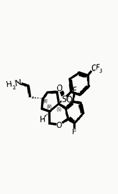 NCC[C@@H]1CC[C@@]2(S(=O)(=O)c3ccc(C(F)(F)F)cc3)c3c(F)ccc(F)c3OC[C@H]2C1